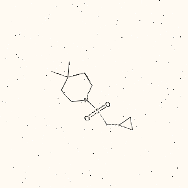 CC1(C)CCN(S(=O)(=O)CC2CC2)CC1